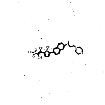 C/C(=C(/C#N)S(N)(=O)=O)c1ccc(-c2ccc3cc(NCCN4CCOCC4)ccc3c2)n1C